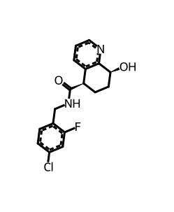 O=C(NCc1ccc(Cl)cc1F)[C@@H]1CC[C@H](O)c2ncccc21